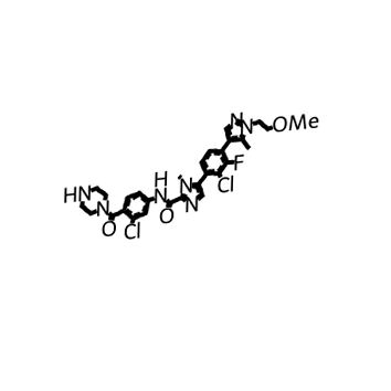 COCCn1ncc(-c2ccc(-c3cnc(C(=O)Nc4ccc(C(=O)N5CCNCC5)c(Cl)c4)n3C)c(Cl)c2F)c1C